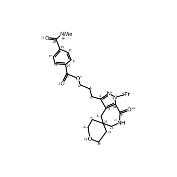 CCn1nc(CCCOC(=O)c2ccc(C(=O)NC)cc2)c2c1C(=O)NCC1(CCOCC1)C2